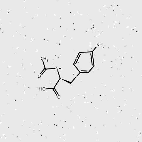 CC(=O)N[C@@H](Cc1ccc(N)cc1)C(=O)O